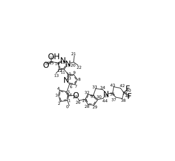 Cc1cccc(-c2cccc(-c3c(C)c(C(=O)O)nn3C(C)C)n2)c1OCc1ccc2c(c1)CCN(C1CCC(F)(F)CC1)C2